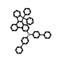 c1ccc(-c2ccc(N(c3ccc(-c4ccccc4)cc3)c3ccc4c5c(c6ccccc6c4c3)-c3ccccc3C5(c3ccccc3)c3ccccc3)cc2)cc1